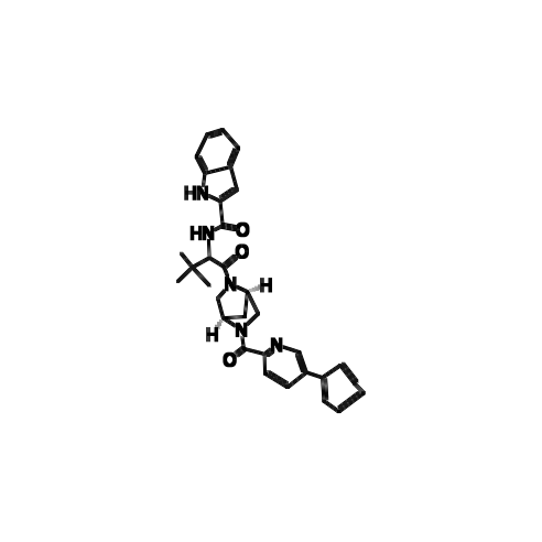 CC(C)(C)C(NC(=O)c1cc2ccccc2[nH]1)C(=O)N1C[C@H]2C[C@@H]1CN2C(=O)c1ccc(-c2ccccc2)cn1